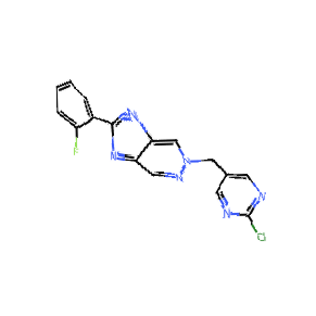 Fc1ccccc1-c1nc2cnn(Cc3cnc(Cl)nc3)cc-2n1